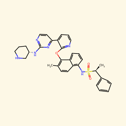 Cc1ccc2c(NS(=O)(=O)[C@@H](C)c3ccccc3)cccc2c1Oc1ncccc1-c1ccnc(N[C@H]2CCCNC2)n1